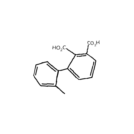 Cc1ccccc1-c1cccc(C(=O)O)c1C(=O)O